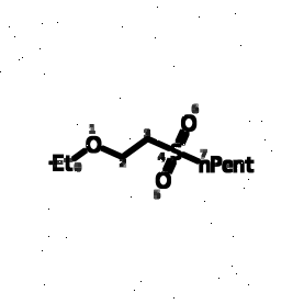 C[CH]OCCS(=O)(=O)CCCCC